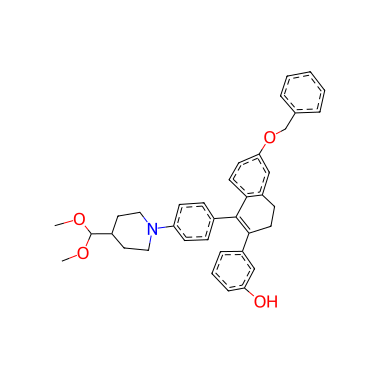 COC(OC)C1CCN(c2ccc(C3=C(c4cccc(O)c4)CCc4cc(OCc5ccccc5)ccc43)cc2)CC1